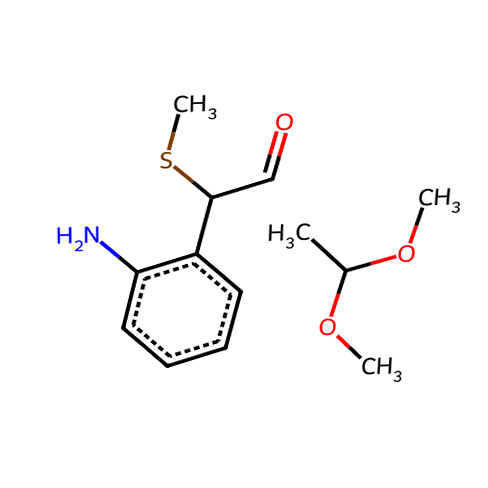 COC(C)OC.CSC(C=O)c1ccccc1N